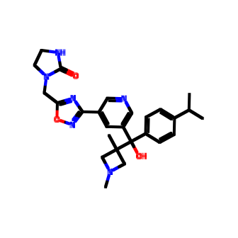 CC(C)c1ccc(C(O)(c2cncc(-c3noc(CN4CCNC4=O)n3)c2)C2(C)CN(C)C2)cc1